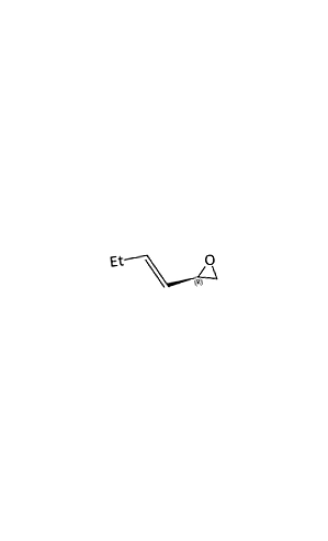 CCC=C[C@@H]1CO1